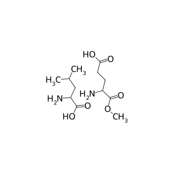 CC(C)CC(N)C(=O)O.COC(=O)C(N)CCC(=O)O